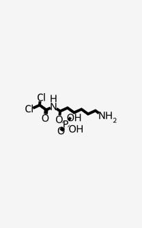 NCCCCCC(NC(=O)C(Cl)Cl)OP(=O)(O)O